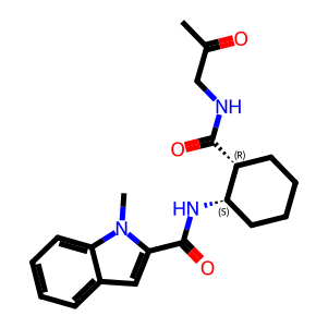 CC(=O)CNC(=O)[C@@H]1CCCC[C@@H]1NC(=O)c1cc2ccccc2n1C